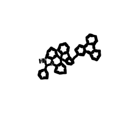 c1ccc(C2Nc3cccc4c3N2c2ccccc2C42c3ccccc3-c3c(-c4ccc5c6ccccc6c6ccccc6c5c4)cccc32)cc1